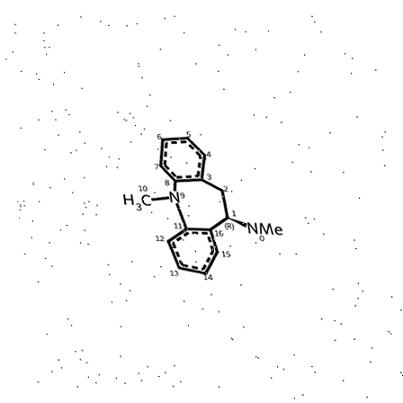 CN[C@@H]1Cc2ccccc2N(C)c2ccccc21